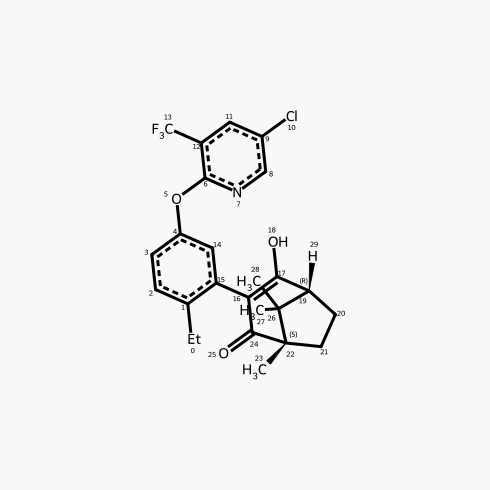 CCc1ccc(Oc2ncc(Cl)cc2C(F)(F)F)cc1C1=C(O)[C@@H]2CC[C@](C)(C1=O)C2(C)C